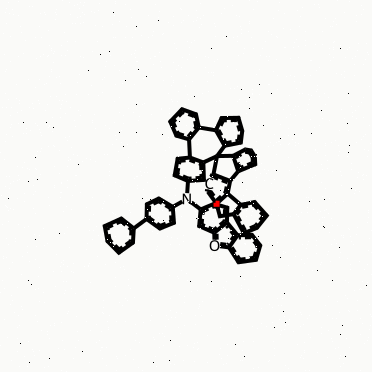 c1ccc(-c2ccc(N(c3ccc4c(c3)C3(c5ccccc5-c5ccccc5-4)c4ccccc4-c4c3ccc3c4-c4ccccc4C3)c3ccc4c(c3)oc3ccccc34)cc2)cc1